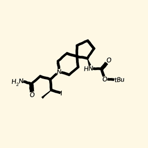 C[C@H](I)C(CC(N)=O)N1CCC2(CCC[C@H]2NC(=O)OC(C)(C)C)CC1